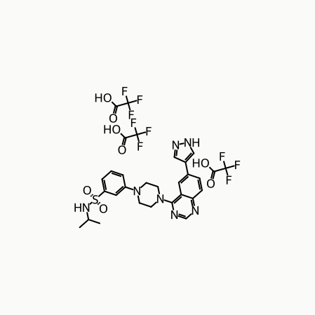 CC(C)NS(=O)(=O)c1cccc(N2CCN(c3ncnc4ccc(-c5cn[nH]c5)cc34)CC2)c1.O=C(O)C(F)(F)F.O=C(O)C(F)(F)F.O=C(O)C(F)(F)F